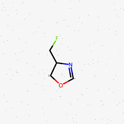 FCC1[C]O[C]=N1